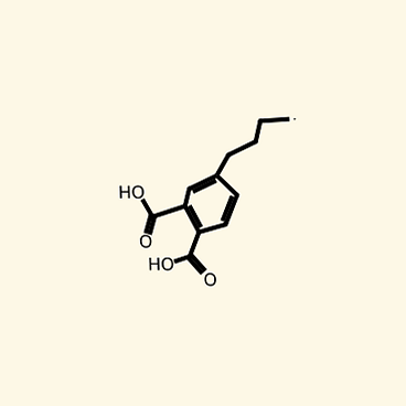 [CH2]CCCc1ccc(C(=O)O)c(C(=O)O)c1